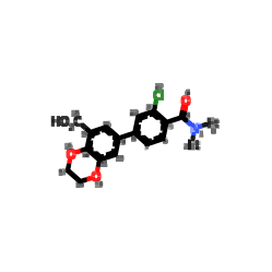 CCN(CC)C(=O)c1ccc(-c2cc3c(c(C(=O)O)c2)OCCO3)cc1Cl